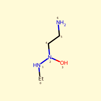 CCNN(O)CCN